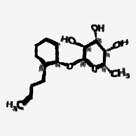 CCCC[C@H]1CCC[CH][C@H]1O[C@@H]1O[C@@H](C)[C@@H](O)[C@@H](O)[C@@H]1O